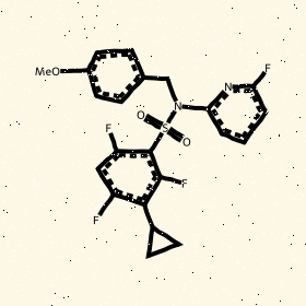 COc1ccc(CN(c2cccc(F)n2)S(=O)(=O)c2c(F)cc(F)c(C3CC3)c2F)cc1